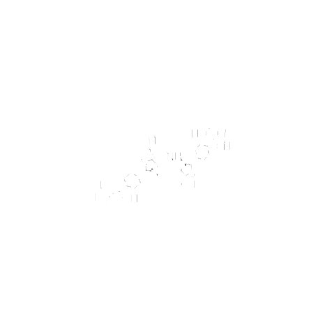 Cc1sc(-c2ccc(C(C)(C)C)cc2)nc1CC(N)c1nc(-c2ccc(C(C)(C)C)cc2)sc1C